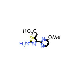 COc1ccnc(-c2nc(N)sc2CC(=O)O)n1